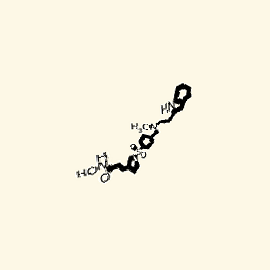 CN(CCc1cc2ccccc2[nH]1)Cc1ccc(S(=O)(=O)n2ccc(C=CC(=O)NO)c2)cc1